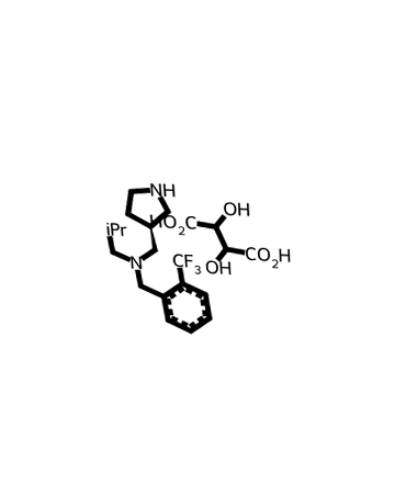 CC(C)CN(Cc1ccccc1C(F)(F)F)C[C@H]1CCNC1.O=C(O)C(O)C(O)C(=O)O